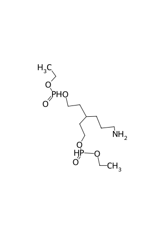 CCO[PH](=O)OCCC(CCCN)CCO[PH](=O)OCC